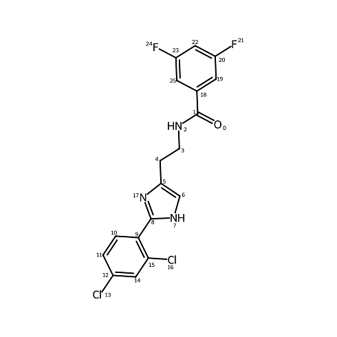 O=C(NCCc1c[nH]c(-c2ccc(Cl)cc2Cl)n1)c1cc(F)cc(F)c1